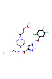 CCCN(C(=O)c1cc(NC(=O)c2cc(F)c(F)cc2Cl)[nH]n1)C1CCN(C(=O)CCC(=O)O)CC1